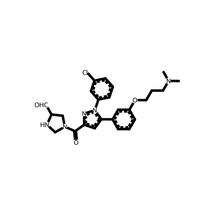 CN(C)CCCOc1cccc(-c2cc(C(=O)N3CNC(C=O)C3)nn2-c2cccc(Cl)c2)c1